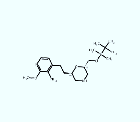 COc1nccc(CC[C@@H]2CNC[C@@H](CO[Si](C)(C)C(C)(C)C)O2)c1N